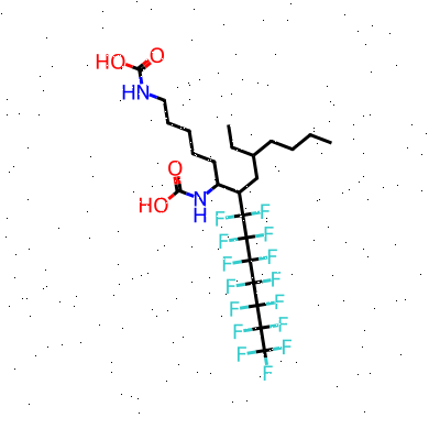 CCCCC(CC)CC(C(CCCCCNC(=O)O)NC(=O)O)C(F)(F)C(F)(F)C(F)(F)C(F)(F)C(F)(F)C(F)(F)C(F)(F)F